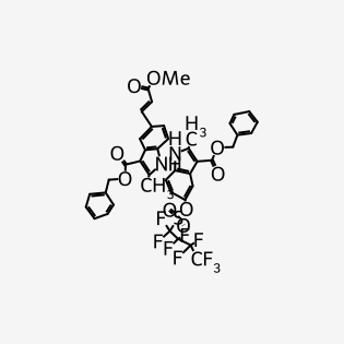 COC(=O)/C=C/c1ccc2[nH]c(C)c(C(=O)OCc3ccccc3)c2c1.Cc1[nH]c2ccc(OS(=O)(=O)C(F)(F)C(F)(F)C(F)(F)C(F)(F)F)cc2c1C(=O)OCc1ccccc1